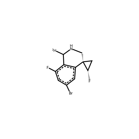 [2H]C1NC[C@@]2(C[C@@H]2F)c2cc(Br)cc(F)c21